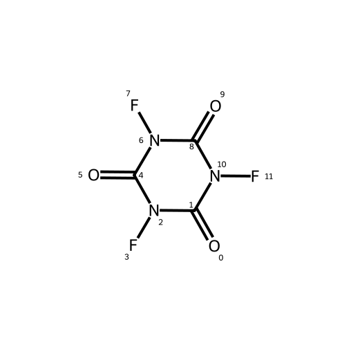 O=c1n(F)c(=O)n(F)c(=O)n1F